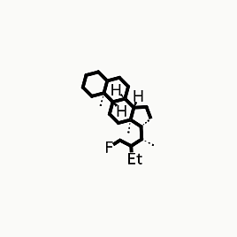 CCC(CF)[C@@H](C)[C@H]1CC[C@H]2[C@@H]3CCC4CCCC[C@]4(C)[C@H]3CC[C@]12C